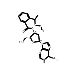 CCSSC(C)c1ccccc1C(=O)O[C@@H]1C[C@H](n2cnc3c2N=CNC3N)O[C@@H]1CO